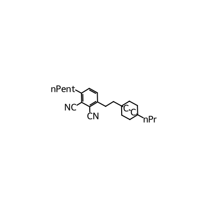 CCCCCc1ccc(CCC23CCC(CCC)(CC2)CC3)c(C#N)c1C#N